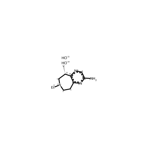 CCN1CCc2nc(N)cnc2[C@@H](C)C1.Cl.Cl